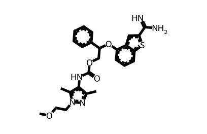 COCCn1nc(C)c(NC(=O)OCC(Oc2cccc3sc(C(=N)N)cc23)c2ccccc2)c1C